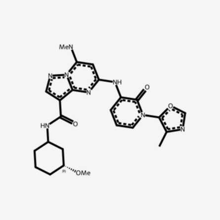 CNc1cc(Nc2cccn(-c3ocnc3C)c2=O)nc2c(C(=O)NC3CCC[C@@H](OC)C3)cnn12